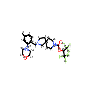 Cc1ccc(CN2CCC3(CCN(C(=O)OC(C(F)(F)F)C(F)(F)F)CC3)C2)c(N2CCOCC2)c1